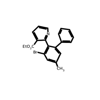 CCOC(=O)c1cccnc1-c1c(Br)cc(C)cc1-c1ccccc1